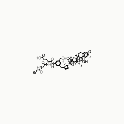 C[C@]12C=CC(=O)C=C1CC[C@@H]1[C@@H]2[C@@H](O)C[C@@]2(C)[C@H]1C[C@H]1O[C@@H](c3ccc(Cc4cc(CO)cc(NC(=O)[C@H](CCC(=O)O)NC(=O)CNC(=O)CBr)c4)s3)O[C@]12C(=O)CO